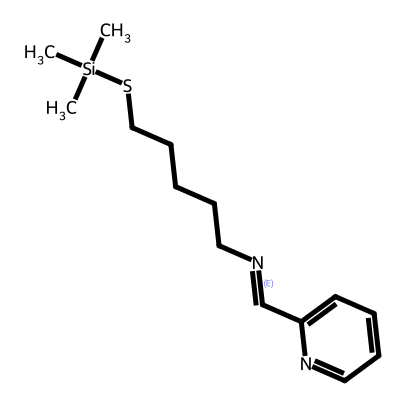 C[Si](C)(C)SCCCCC/N=C/c1ccccn1